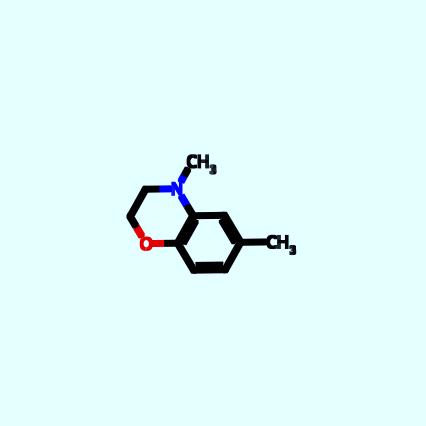 Cc1ccc2c(c1)N(C)CCO2